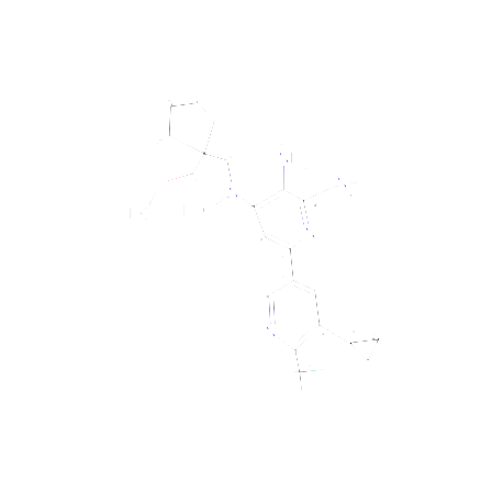 COCC1(CN(C)c2cc(-c3cnc(C(F)(F)F)c(C4CC4)c3)nc(N)c2N)CCCC1